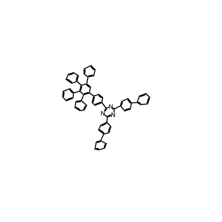 c1ccc(-c2ccc(-c3nc(-c4ccc(-c5ccccc5)cc4)nc(-c4ccc(-c5cc(-c6ccccc6)c(-c6ccccc6)c(-c6ccccc6)c5-c5ccccc5)cc4)n3)cc2)cc1